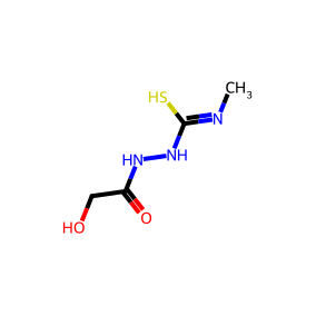 CN=C(S)NNC(=O)CO